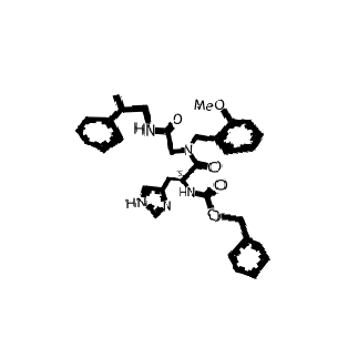 COc1ccccc1CN(CC(=O)NCC(C)c1ccccc1)C(=O)[C@H](Cc1c[nH]cn1)NC(=O)OCc1ccccc1